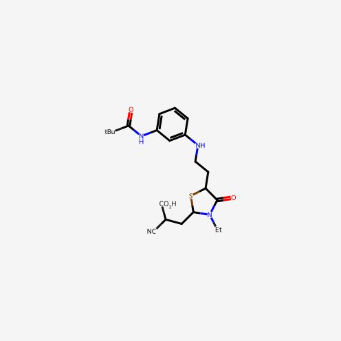 CCN1C(=O)C(CCNc2cccc(NC(=O)C(C)(C)C)c2)SC1CC(C#N)C(=O)O